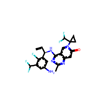 C=C[C@@H](Nc1nc(C)nc2cc(=O)n(C3(C(F)F)CC3)cc12)c1cc(N)cc(C(F)F)c1F